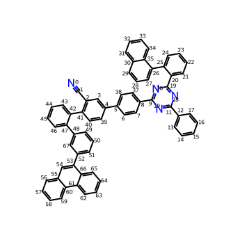 N#Cc1cc(-c2ccc(-c3nc(-c4ccccc4)nc(-c4ccccc4-c4cccc5ccccc45)n3)cc2)ccc1-c1ccccc1-c1cccc(-c2cc3ccccc3c3ccccc23)c1